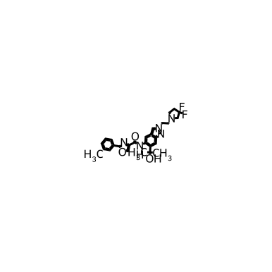 Cc1cccc(-c2nc(C(=O)Nc3cc4cn(CCN5CCC(F)(F)C5)nc4cc3C(C)(C)O)co2)c1